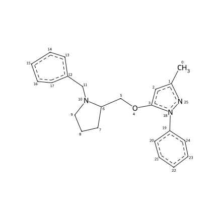 Cc1cc(OCC2CCCN2Cc2ccccc2)n(-c2ccccc2)n1